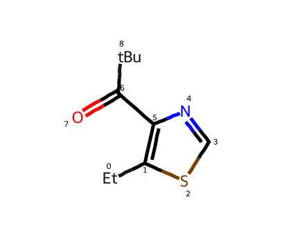 CCc1scnc1C(=O)C(C)(C)C